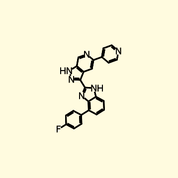 Fc1ccc(-c2cccc3[nH]c(-c4n[nH]c5cnc(-c6ccncc6)cc45)nc23)cc1